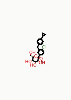 COC1(c2ccc(Cl)c(Cc3ccc(C4CC4)cc3)c2)O[C@H](CO)[C@@H](O)[C@H](O)[C@H]1O